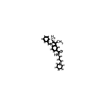 Cc1c(C)n(Cc2ccccc2)c2ccc(C(=O)NCCCN3CCCCC3)cc12